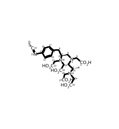 C[C@@H](CN(CC(=O)O)C[C@H](Cc1ccc(N=C=S)cc1)N(CC(=O)O)CC(=O)O)N(CC(=O)O)CC(=O)O